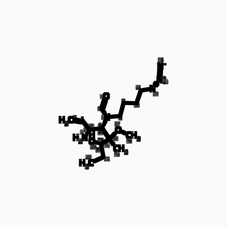 C=C[C@@H](N)[C@@H](N(C=O)CCCCN=[N+]=[N-])[C@](C)(OC)[C@H](O)CC